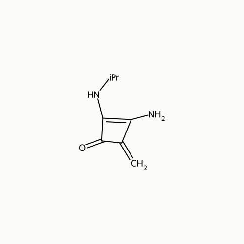 C=C1C(=O)C(NC(C)C)=C1N